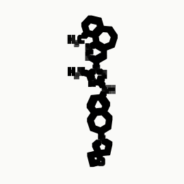 CC1CC=CC2=C1c1nnc(-n3nc(Nc4ccc5c(c4)CCC(N4CCC6(CCO6)C4)CC5)nc3N)cc1CCC2